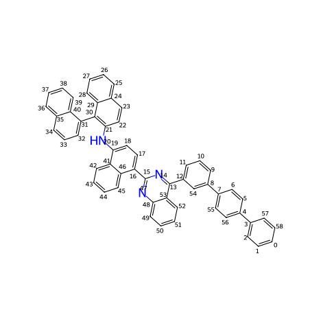 c1ccc(-c2ccc(-c3cccc(-c4nc(-c5ccc(Nc6ccc7ccccc7c6-c6cccc7ccccc67)c6ccccc56)nc5ccccc45)c3)cc2)cc1